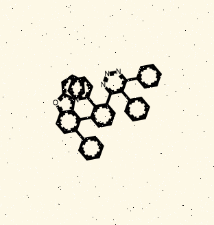 c1ccc(-c2ccc3oc4ccccc4c3c2-c2cccc(-c3nnnc(-c4ccccc4)c3-c3ccccc3)c2-c2ccccn2)cc1